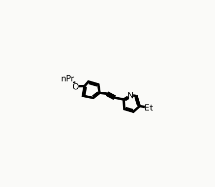 CCCOc1ccc(C#Cc2ccc(CC)cn2)cc1